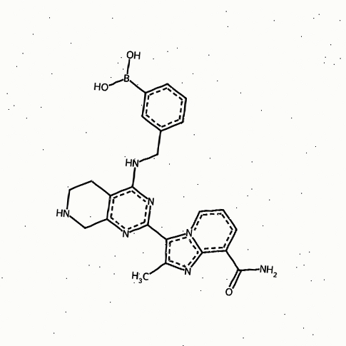 Cc1nc2c(C(N)=O)cccn2c1-c1nc2c(c(NCc3cccc(B(O)O)c3)n1)CCNC2